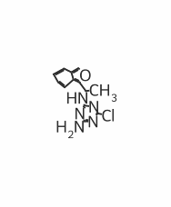 CC(Nc1nc(N)nc(Cl)n1)c1occ2ccccc12